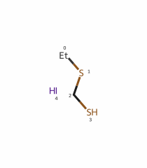 CCSCS.I